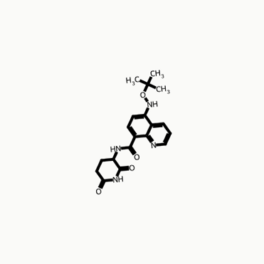 CC(C)(C)ONc1ccc(C(=O)NC2CCC(=O)NC2=O)c2ncccc12